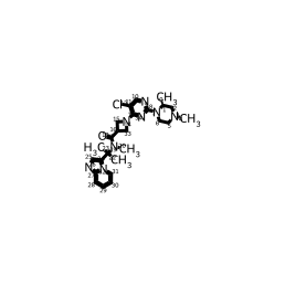 C[C@H]1CN(C)CCN1c1ncc(Cl)c(N2CC(C(=O)N(C)C(C)(C)c3cnc4ccccn34)C2)n1